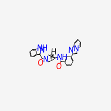 O=C(NC1C2CN(C(=O)c3n[nH]c4ccccc34)C[C@@H]21)c1cccc(-c2cn3ccccc3n2)c1